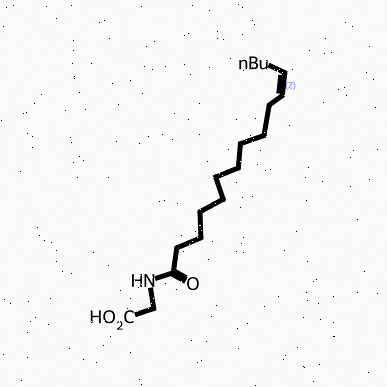 CCCC/C=C\CCCCCCCCCC(=O)NCC(=O)O